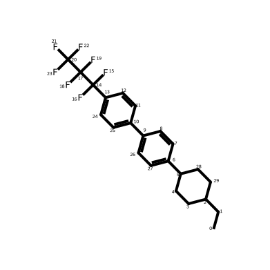 CCC1CCC(c2ccc(-c3ccc(C(F)(F)C(F)(F)C(F)(F)F)cc3)cc2)CC1